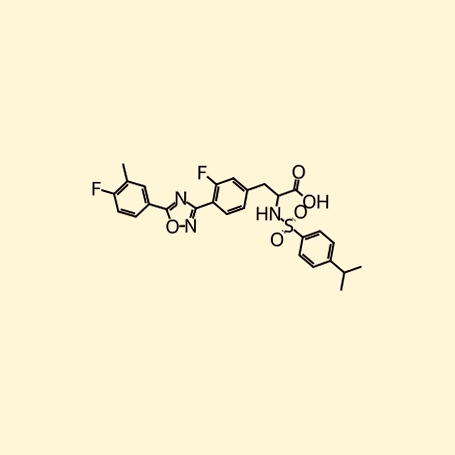 Cc1cc(-c2nc(-c3ccc(CC(NS(=O)(=O)c4ccc(C(C)C)cc4)C(=O)O)cc3F)no2)ccc1F